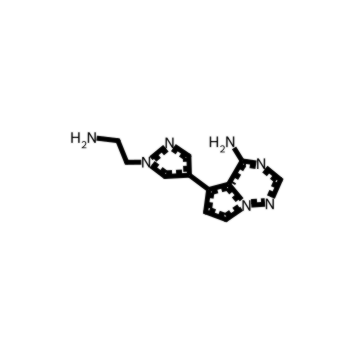 NCCn1cc(-c2ccn3ncnc(N)c23)cn1